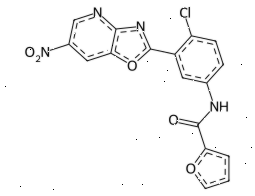 O=C(Nc1ccc(Cl)c(-c2nc3ncc([N+](=O)[O-])cc3o2)c1)c1ccco1